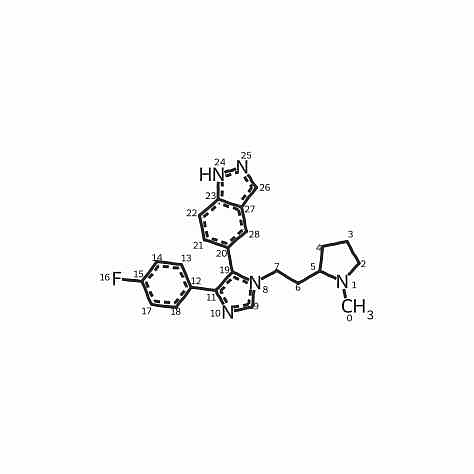 CN1CCCC1CCn1cnc(-c2ccc(F)cc2)c1-c1ccc2[nH]ncc2c1